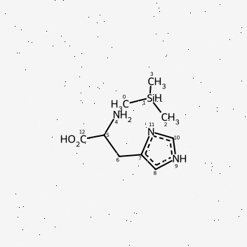 C[SiH](C)C.NC(Cc1c[nH]cn1)C(=O)O